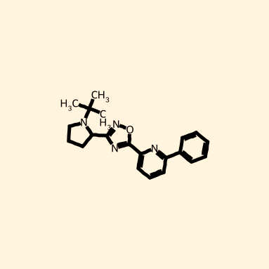 CC(C)(C)N1CCCC1c1noc(-c2cccc(-c3ccccc3)n2)n1